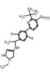 CC[C@H]1CC(NC(C)c2cc(F)c(-c3ccc(OC)c(C(C)(C)C)n3)cc2F)=CN1